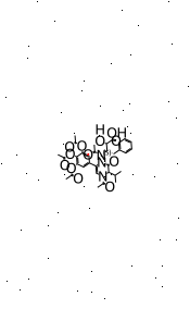 CC(=O)Oc1cc(C2=CN(C(C)=O)C(C(C)C)C(=O)N2N(C(C)=O)[C@@H](Cc2ccccc2)C(O)C(=O)O)cc(OC(C)=O)c1OC(C)=O